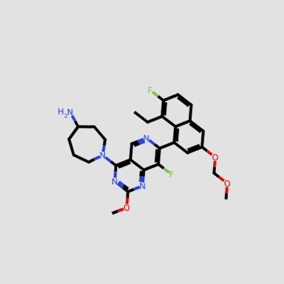 CCc1c(F)ccc2cc(OCOC)cc(-c3ncc4c(N5CCCC(N)CC5)nc(OC)nc4c3F)c12